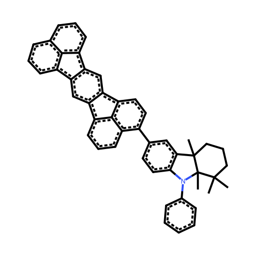 CC1(C)CCCC2(C)c3cc(-c4ccc5c6cc7c(cc6c6cccc4c65)c4cccc5cccc7c54)ccc3N(c3ccccc3)C12C